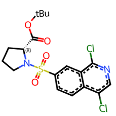 CC(C)(C)OC(=O)[C@H]1CCCN1S(=O)(=O)c1ccc2c(Cl)cnc(Cl)c2c1